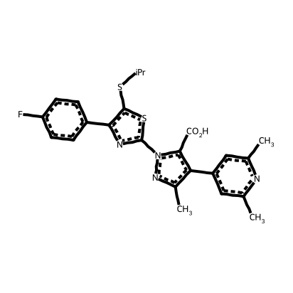 Cc1cc(-c2c(C)nn(-c3nc(-c4ccc(F)cc4)c(SC(C)C)s3)c2C(=O)O)cc(C)n1